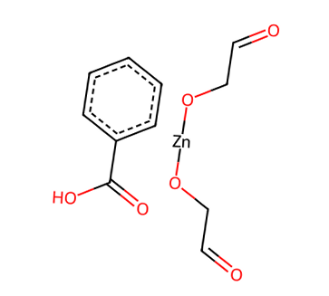 O=C(O)c1ccccc1.O=CC[O][Zn][O]CC=O